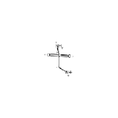 [NH]CS(N)(=O)=O